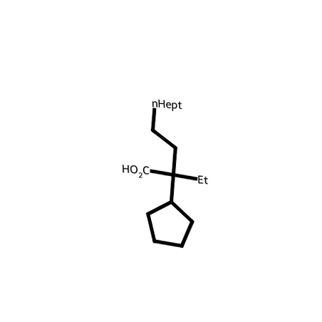 CCCCCCCCCC(CC)(C(=O)O)C1CCCC1